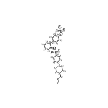 CCC[C@H]1CC[C@H](c2ccc(C(F)(F)Oc3ccccc3-c3ccc(OC(F)(F)F)cc3)cc2)CC1